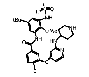 COc1c(NC(=O)c2ccc(Cl)c(Oc3ccnc(NC4CCNCC4)c3)c2)cc(C(C)(C)C)cc1NS(C)(=O)=O